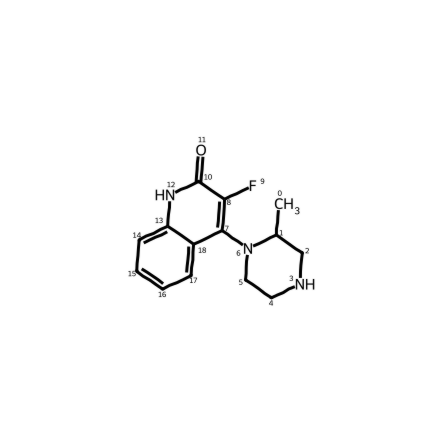 CC1CNCCN1c1c(F)c(=O)[nH]c2ccccc12